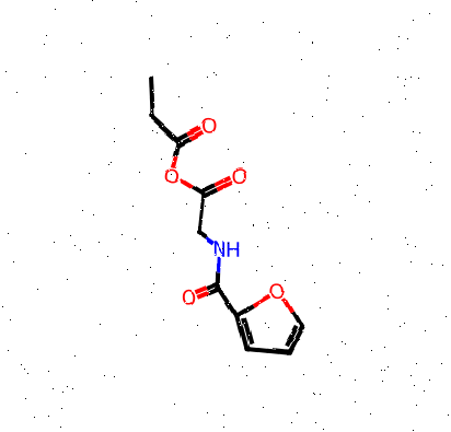 CCC(=O)OC(=O)CNC(=O)c1ccco1